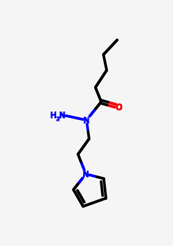 CCCCC(=O)N(N)CCn1cccc1